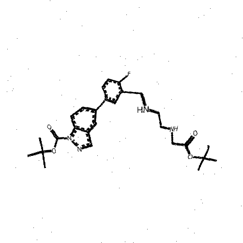 CC(C)(C)OC(=O)CNCCNCc1cc(-c2ccc3c(cnn3C(=O)OC(C)(C)C)c2)ccc1F